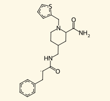 NC(=O)C1CC(CNC(=O)[CH]Cc2ccccc2)CCN1Cc1cccs1